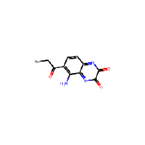 CC(=O)CC(=O)c1ccc2c(c1N)=NC(=O)C(=O)N=2